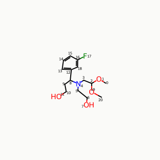 COC(CN(CCO)C(CCO)c1cccc(F)c1)OC